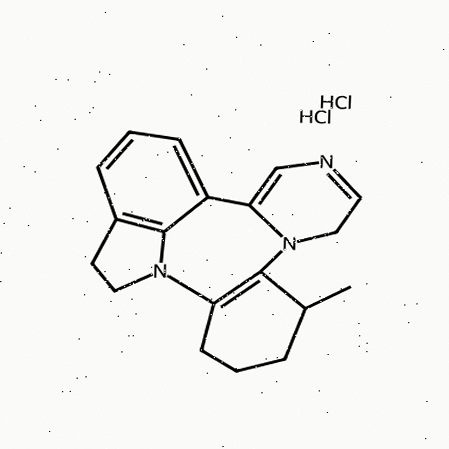 CC1CCCC2=C1N1CC=NC=C1c1cccc3c1N2CC3.Cl.Cl